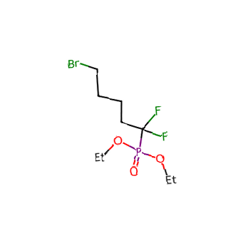 CCOP(=O)(OCC)C(F)(F)CCCCBr